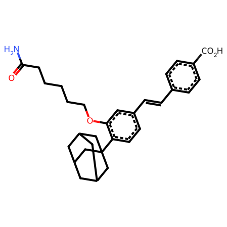 NC(=O)CCCCCOc1cc(C=Cc2ccc(C(=O)O)cc2)ccc1C12CC3CC(CC(C3)C1)C2